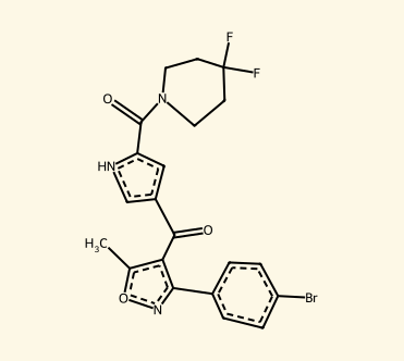 Cc1onc(-c2ccc(Br)cc2)c1C(=O)c1c[nH]c(C(=O)N2CCC(F)(F)CC2)c1